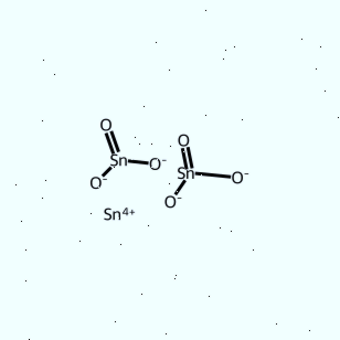 [O]=[Sn]([O-])[O-].[O]=[Sn]([O-])[O-].[Sn+4]